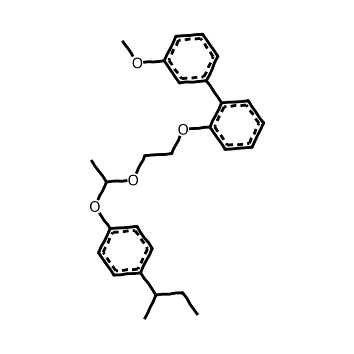 CCC(C)c1ccc(OC(C)OCCOc2ccccc2-c2cccc(OC)c2)cc1